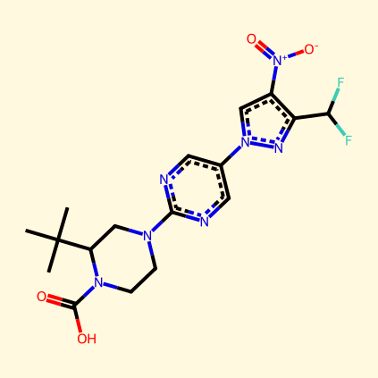 CC(C)(C)C1CN(c2ncc(-n3cc([N+](=O)[O-])c(C(F)F)n3)cn2)CCN1C(=O)O